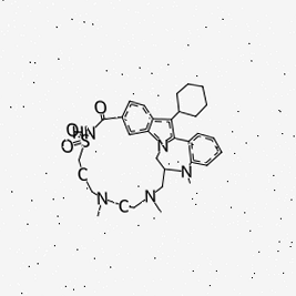 CN1CCCS(=O)(=O)NC(=O)c2ccc3c(C4CCCCC4)c4n(c3c2)CC(CN(C)CC1)N(C)c1ccccc1-4